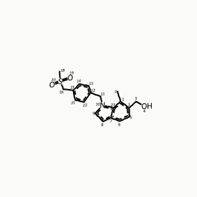 Cc1c(CO)ccc2ccn(Cc3ccc(CS(C)(=O)=O)cc3)c12